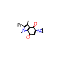 Cc1c2c(n(C)c1C(C)C)C(=O)C=C(N1CC1)C2=O